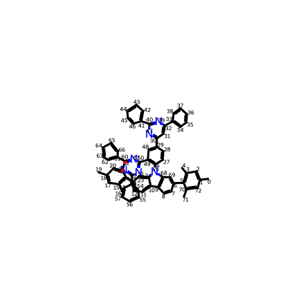 Cc1cc(C)c(-c2ccc3c4ccc(-c5c(C)cc(C)cc5C)cc4n(-c4ccc(-c5cc(-c6ccccc6)nc(-c6ccccc6)n5)cc4-c4nc(-c5ccccc5)nc(-c5ccccc5)n4)c3c2)c(C)c1